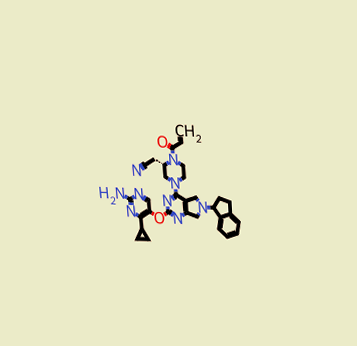 C=CC(=O)N1CCN(c2nc(Oc3cnc(N)nc3C3CC3)nc3c2CN(C2CCc4ccccc42)C3)C[C@@H]1CC#N